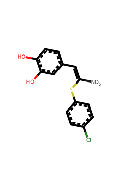 O=[N+]([O-])C(=Cc1ccc(O)c(O)c1)Sc1ccc(Cl)cc1